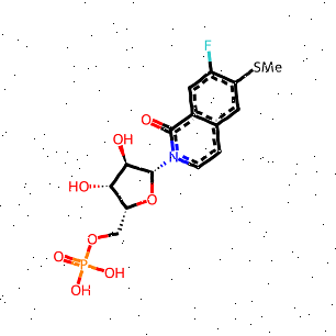 CSc1cc2ccn([C@@H]3O[C@H](COP(=O)(O)O)[C@H](O)[C@H]3O)c(=O)c2cc1F